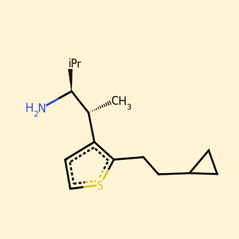 CC(C)[C@H](N)[C@H](C)c1ccsc1CCC1CC1